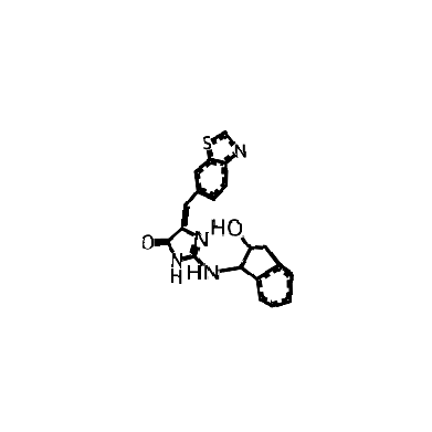 O=C1NC(NC2c3ccccc3CC2O)=N/C1=C\c1ccc2ncsc2c1